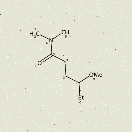 CCC(CCC(=O)N(C)C)OC